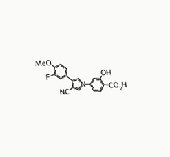 COc1ccc(-c2cn(-c3ccc(C(=O)O)c(O)c3)cc2C#N)cc1F